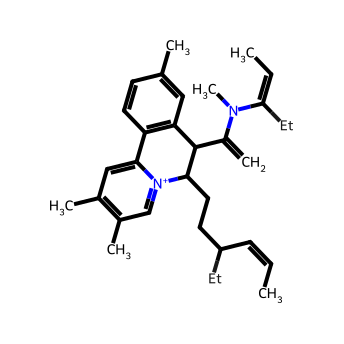 C=C(C1c2cc(C)ccc2-c2cc(C)c(C)c[n+]2C1CCC(/C=C\C)CC)N(C)/C(=C\C)CC